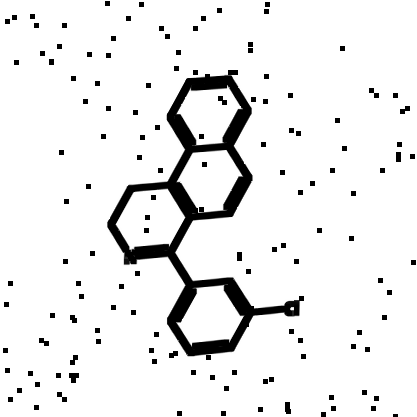 Clc1cccc(C2=NCCc3c2ccc2ccccc32)c1